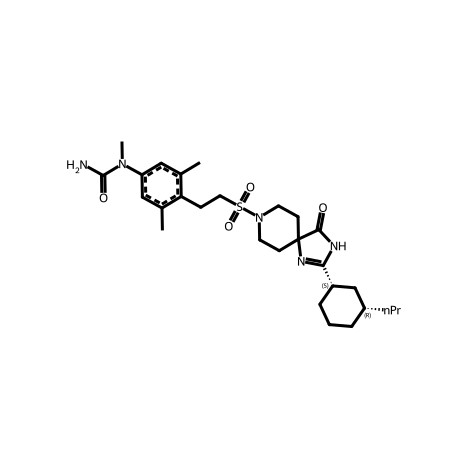 CCC[C@@H]1CCC[C@H](C2=NC3(CCN(S(=O)(=O)CCc4c(C)cc(N(C)C(N)=O)cc4C)CC3)C(=O)N2)C1